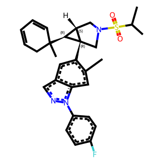 Cc1cc2c(cnn2-c2ccc(F)cc2)cc1[C@]12CN(S(=O)(=O)C(C)C)C[C@H]1[C@@H]2C1(C)C=CC=CC1